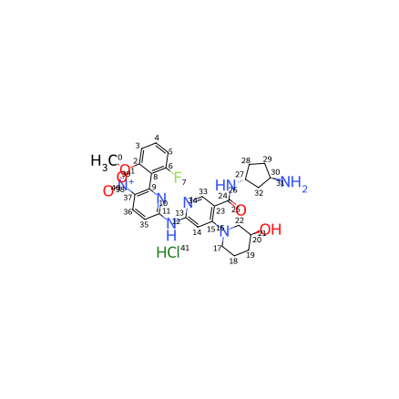 COc1cccc(F)c1-c1nc(Nc2cc(N3CCC[C@H](O)C3)c(C(=O)N[C@@H]3CC[C@@H](N)C3)cn2)ccc1[N+](=O)[O-].Cl